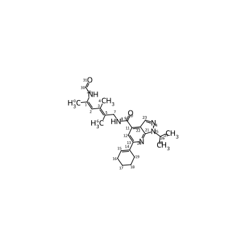 C/C(=C/C(C)=C(\C)CNC(=O)c1cc(C2=CCCCC2)nc2c1cnn2C(C)C)NC=O